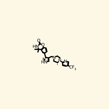 C[C@@H]1CN(Cc2c[nH]nc2-c2ccc3c(c2)C(C)(C)NC(=O)O3)CCN1c1ccc(C(F)(F)F)cn1